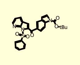 CC(C)(C)OC(=O)n1ccc2cc(C(=O)c3cc4cccnc4n3S(=O)(=O)c3ccccc3)ccc21